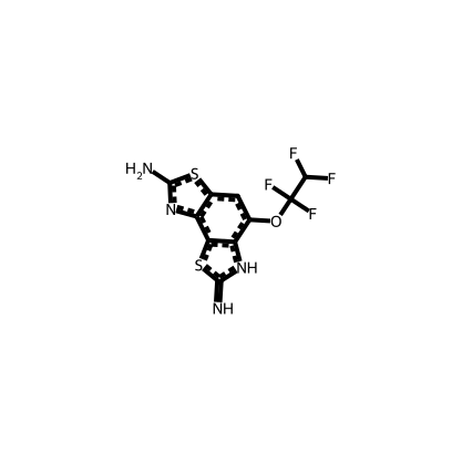 N=c1[nH]c2c(OC(F)(F)C(F)F)cc3sc(N)nc3c2s1